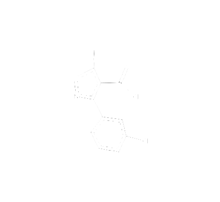 Cc1onc(-c2cccc(Cl)c2)c1C(=O)Cl